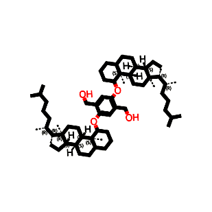 CC(C)CCC[C@@H](C)[C@H]1CC[C@H]2[C@@H]3CCC4CCCC(Oc5cc(CO)c(OC6CCCC7CC[C@@H]8[C@H](CC[C@]9(C)[C@@H]([C@H](C)CCCC(C)C)CC[C@@H]89)[C@]76C)cc5CO)[C@]4(C)[C@H]3CC[C@]12C